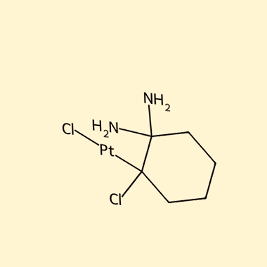 NC1(N)CCCC[C]1(Cl)[Pt][Cl]